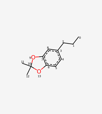 CCCc1ccc2c(c1)OC(C)(C)O2